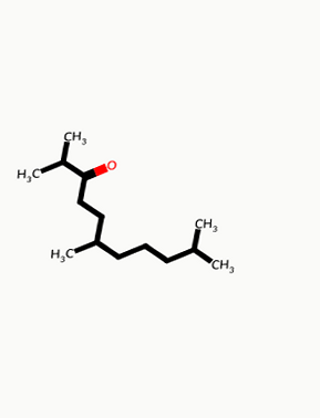 CC(C)CCCC(C)CCC(=O)C(C)C